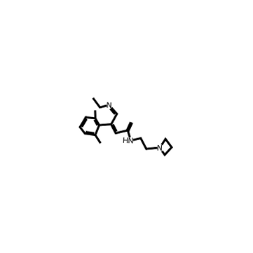 C=C(/C=C(\C=N/CC)c1c(C)cccc1C)NCCN1CCC1